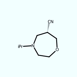 CC(C)N1CCOC[C@@H](C#N)C1